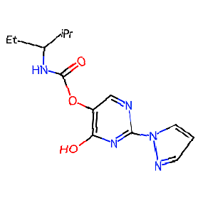 CCC(NC(=O)Oc1cnc(-n2cccn2)nc1O)C(C)C